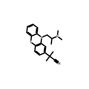 CC(CN1c2ccccc2Sc2ccc(C(C)(C)C#N)cc21)N(C)C